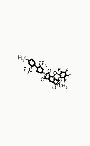 Cc1ccc(-c2ccc(-n3c(=O)c4cc5c(=O)n(C)c(=O)c5c(Oc5c(F)c(F)c(F)c(F)c5F)c4c3=O)cc2C(F)(F)F)c(C(F)(F)F)c1